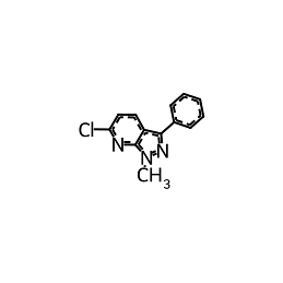 Cn1nc(-c2ccccc2)c2ccc(Cl)nc21